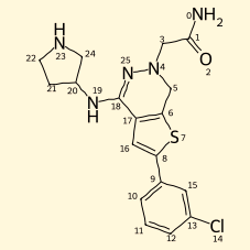 NC(=O)CN1Cc2sc(-c3cccc(Cl)c3)cc2C(NC2CCNC2)=N1